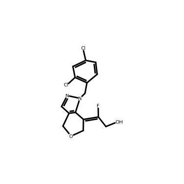 OCC(F)=C1COCc2cnn(Cc3ccc(Cl)cc3Cl)c21